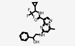 Cc1cc(NCC(O)c2ccccc2)nc2c(C(=O)NC(C3CC3)C(F)(F)F)cnn12